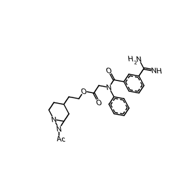 CC(=O)N1C2CC(CCOC(=O)CN(C(=O)c3cccc(C(=N)N)c3)c3ccccc3)CCN21